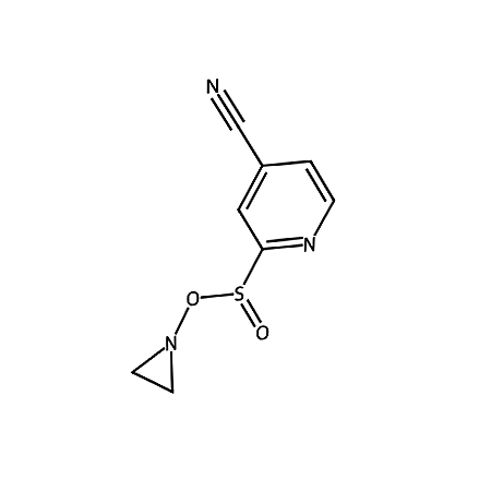 N#Cc1ccnc(S(=O)ON2CC2)c1